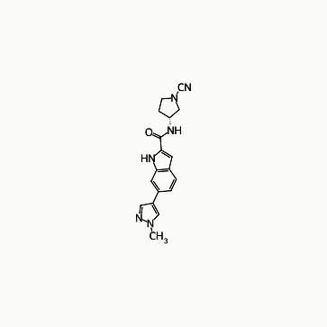 Cn1cc(-c2ccc3cc(C(=O)N[C@@H]4CCN(C#N)C4)[nH]c3c2)cn1